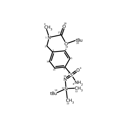 CN(Cc1ccc(S(N)(=O)=N[Si](C)(C)C(C)(C)C)cc1)C(=O)OC(C)(C)C